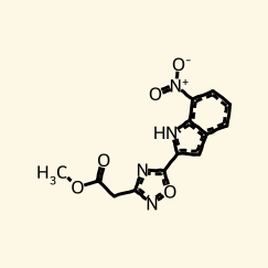 COC(=O)Cc1noc(-c2cc3cccc([N+](=O)[O-])c3[nH]2)n1